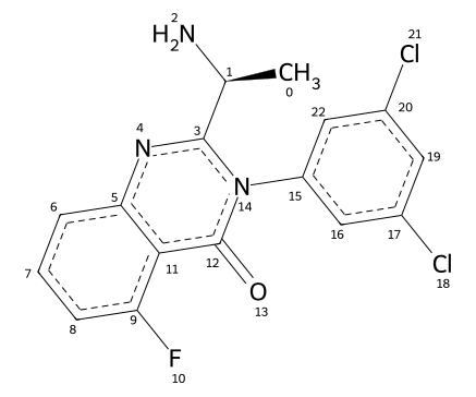 C[C@H](N)c1nc2cccc(F)c2c(=O)n1-c1cc(Cl)cc(Cl)c1